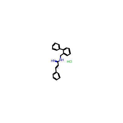 Cl.N=C(/C=C/c1ccccc1)NCc1ccccc1-c1ccccc1